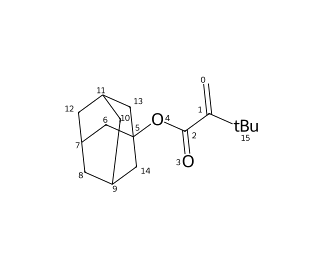 C=C(C(=O)OC12CC3CC(CC(C3)C1)C2)C(C)(C)C